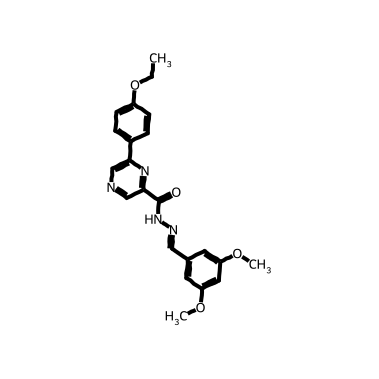 CCOc1ccc(-c2cncc(C(=O)NN=Cc3cc(OC)cc(OC)c3)n2)cc1